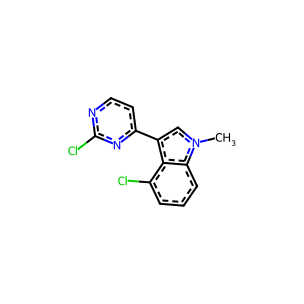 Cn1cc(-c2ccnc(Cl)n2)c2c(Cl)cccc21